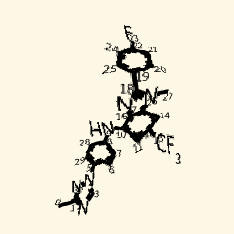 Cc1ncn(-c2ccc(Nc3cc(C(F)(F)F)cc4c3nc(-c3ccc(F)cc3)n4C)cc2)n1